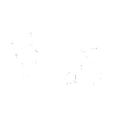 COC(=O)c1cc(OC(F)F)cc(-c2noc(CCCC/C=C/c3c(-c4c(Cl)cncc4Cl)noc3C3CC3)n2)c1